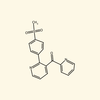 CS(=O)(=O)c1ccc(-c2ncccc2C(=O)c2ccccn2)cc1